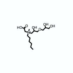 CCCCCC[N+](C)(CC(=O)O)CC(O)COCC(O)CO